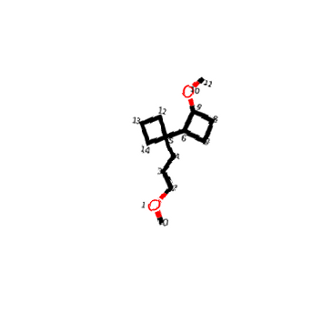 COCCCC1([C]2CCC2OC)CCC1